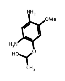 COc1cc(OC(C)O)c(N)cc1N